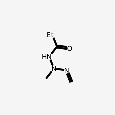 C=NN(C)NC(=O)CC